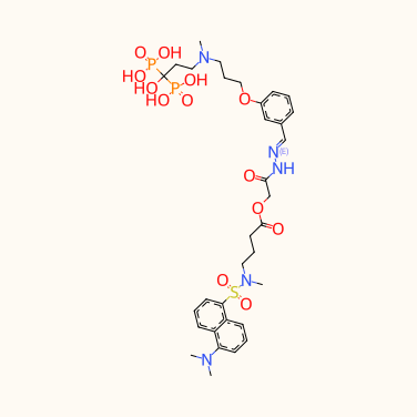 CN(CCCOc1cccc(/C=N/NC(=O)COC(=O)CCCN(C)S(=O)(=O)c2cccc3c(N(C)C)cccc23)c1)CCC(O)(P(=O)(O)O)P(=O)(O)O